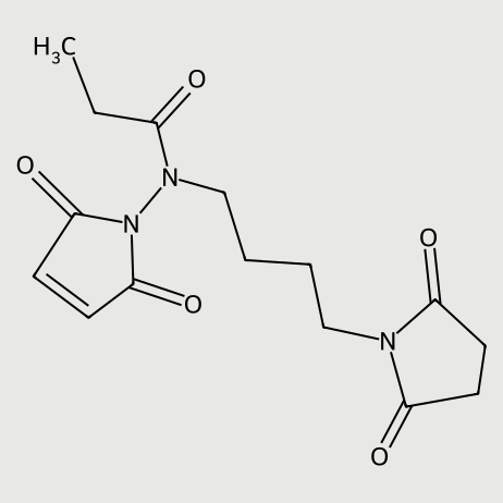 CCC(=O)N(CCCCN1C(=O)CCC1=O)N1C(=O)C=CC1=O